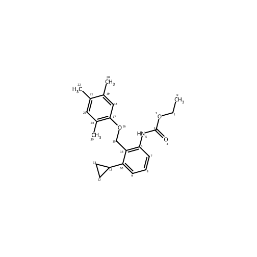 CCOC(=O)Nc1cccc(C2CC2)c1COc1cc(C)c(C)cc1C